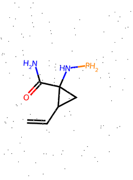 C=CC1CC1(NP)C(N)=O